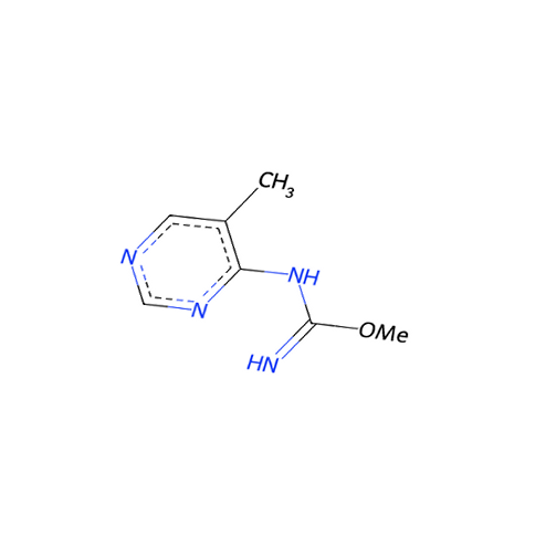 COC(=N)Nc1ncncc1C